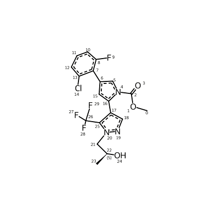 COC(=O)n1cc(-c2c(F)cccc2Cl)cc1-c1cnn(C[C@H](C)O)c1C(F)(F)F